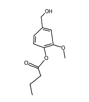 CCCC(=O)Oc1ccc(CO)cc1OC